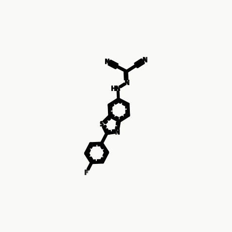 N#CC(C#N)=NNc1ccc2nc(-c3ccc(F)cc3)sc2c1